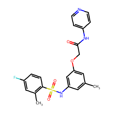 Cc1cc(NS(=O)(=O)c2ccc(F)cc2C)cc(OCC(=O)Nc2ccncc2)c1